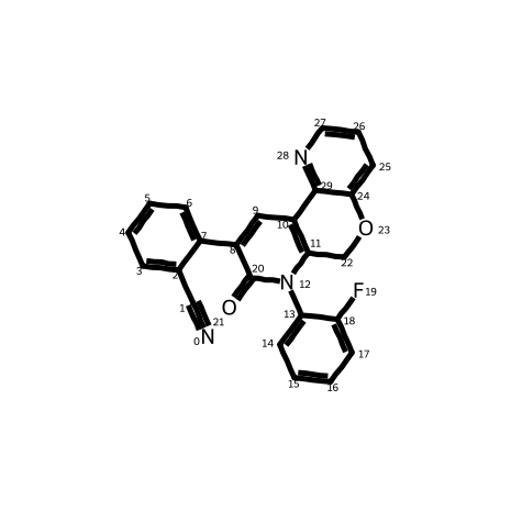 N#Cc1ccccc1-c1cc2c(n(-c3ccccc3F)c1=O)COc1cccnc1-2